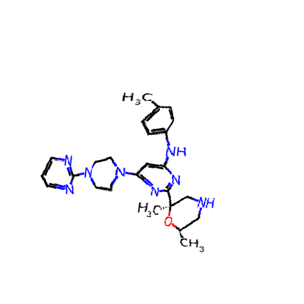 Cc1ccc(Nc2cc(N3CCN(c4ncccn4)CC3)nc([C@@]3(C)CNC[C@@H](C)O3)n2)cc1